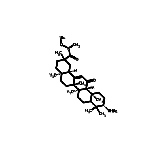 CC(=O)N[C@H]1CC[C@@]2(C)C(CC[C@]3(C)[C@@H]2C(=O)C=C2[C@@H]4C[C@@](C)(C(=O)N(C)OC(C)(C)C)CC[C@]4(C)CC[C@]23C)C1(C)C